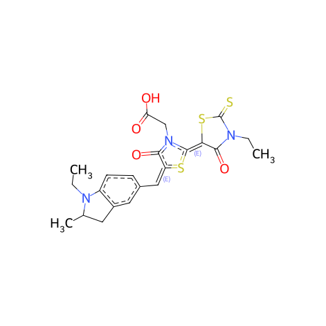 CCN1C(=O)/C(=c2\s/c(=C/c3ccc4c(c3)CC(C)N4CC)c(=O)n2CC(=O)O)SC1=S